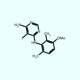 COc1ccc(C)c(Nc2ncnc(N)c2I)c1C